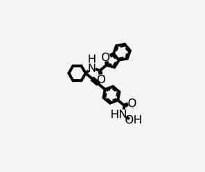 O=C(NO)c1ccc(C#CC2(NC(=O)c3cc4ccccc4o3)CCCCC2)cc1